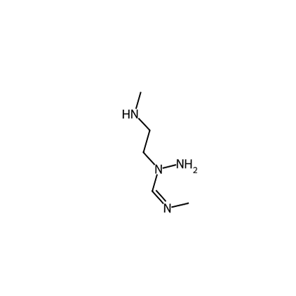 C/N=C\N(N)CCNC